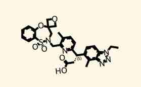 CCn1nnc2c(C)c([C@H](CC(=O)O)c3ccc(C)c(CN4CC5(COC5)Oc5ccccc5S4(=O)=O)n3)ccc21